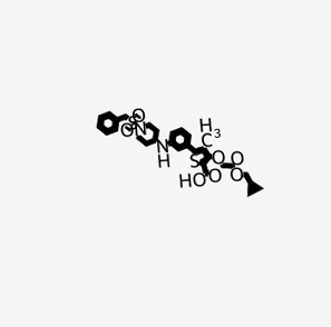 Cc1c(-c2cccc(NC3CCN(S(=O)(=O)Cc4ccccc4)CC3)c2)sc(C(=O)O)c1OCC(=O)OCC1CC1